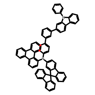 c1ccc(-n2c3ccccc3c3ccc(-c4cccc(-c5ccc(N(c6ccc7c(c6)C6(c8ccccc8-c8ccccc86)c6ccccc6-7)c6cccc7c8ccccc8c8ccccc8c67)cc5)c4)cc32)cc1